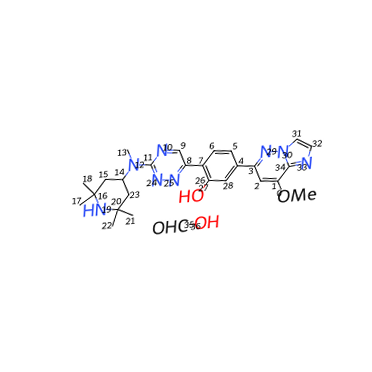 COc1cc(-c2ccc(-c3cnc(N(C)C4CC(C)(C)NC(C)(C)C4)nn3)c(O)c2)nn2ccnc12.O=CO